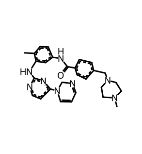 Cc1ccc(NC(=O)c2ccc(CN3CCN(C)CC3)cc2)cc1Nc1nccc(N2C=CC=NC2)n1